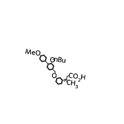 CCCCOc1cc(COc2cccc([C@H](C)CC(=O)O)c2)ccc1-c1ccc(OC)cc1